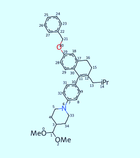 COC(OC)C1CCN(c2ccc(C3=C(CC(C)C)CCc4cc(OCc5ccccc5)ccc43)cc2)CC1